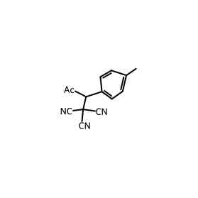 CC(=O)C(c1ccc(C)cc1)C(C#N)(C#N)C#N